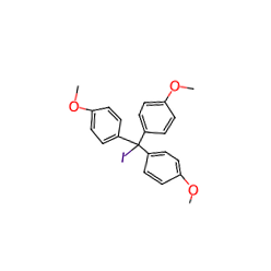 COc1ccc(C(I)(c2ccc(OC)cc2)c2ccc(OC)cc2)cc1